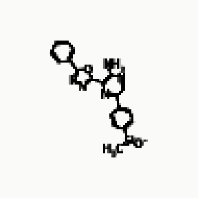 C[S+]([O-])c1ccc(-c2cnc(N)c(-c3nnc(-c4ccccc4)o3)n2)cc1